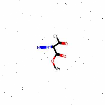 CCCOC(=O)C(=[N+]=[N-])C(=O)CC